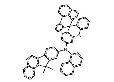 CC1(C)c2cc(N(c3ccc4c(c3)Sc3ccccc3C43c4ccccc4-c4cccc5cccc3c45)c3cccc4ccccc34)ccc2-c2ccc3ccccc3c21